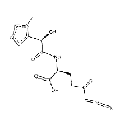 Cn1cncc1[C@@H](O)C(=O)N[C@@H](CCC(=O)C=[N+]=[N-])C(=O)O